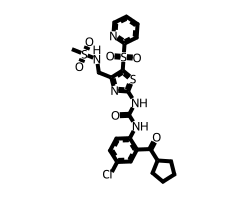 CS(=O)(=O)NCc1nc(NC(=O)Nc2ccc(Cl)cc2C(=O)C2CCCC2)sc1S(=O)(=O)c1ccccn1